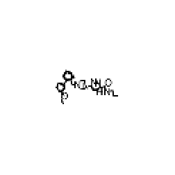 CCCNC(=O)c1ccc(N2CCN(Cc3ccccc3-c3cccc(OCC)c3)CC2)nn1